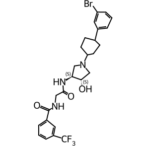 O=C(CNC(=O)c1cccc(C(F)(F)F)c1)N[C@H]1CN(C2CCC(c3cccc(Br)c3)CC2)C[C@@H]1O